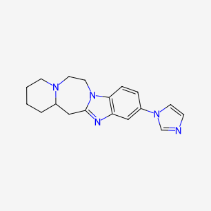 c1cn(-c2ccc3c(c2)nc2n3CCN3CCCCC3C2)cn1